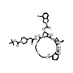 C=C[C@@H]1C[C@@]12NC(=O)[C@@H]1C[C@@H](OC(=O)N3Cc4cccc(F)c4C3)CN1C(=O)[C@@H](NC(=O)CC1CCN(C(=O)OC(C)(C)C)CC1)CCCCCCCNc1ccccc1S(=O)(=O)NC2=O